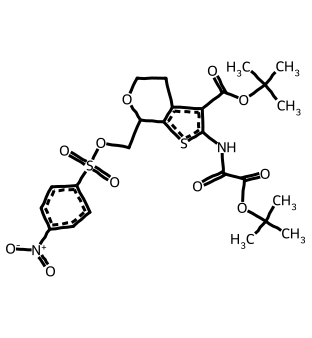 CC(C)(C)OC(=O)C(=O)Nc1sc2c(c1C(=O)OC(C)(C)C)CCOC2COS(=O)(=O)c1ccc([N+](=O)[O-])cc1